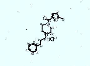 Cc1ccc(C(=O)N2CCN(CCCc3ccccc3)CC2)o1.Cl